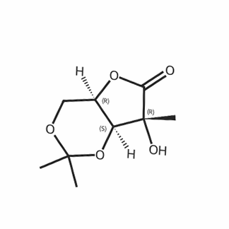 CC1(C)OC[C@H]2OC(=O)[C@](C)(O)[C@H]2O1